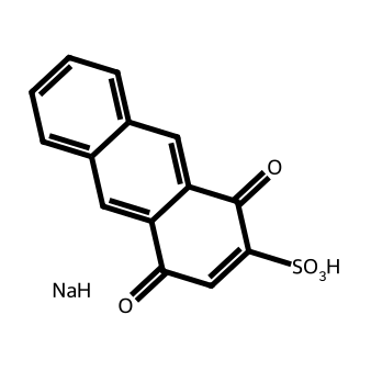 O=C1C=C(S(=O)(=O)O)C(=O)c2cc3ccccc3cc21.[NaH]